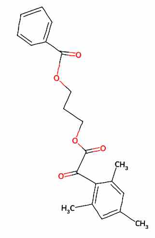 Cc1cc(C)c(C(=O)C(=O)OCCCOC(=O)c2ccccc2)c(C)c1